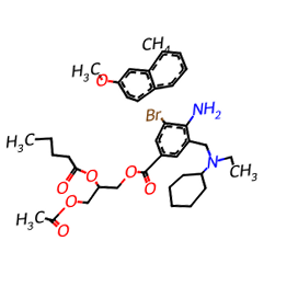 C.CCCCC(=O)OC(COC(C)=O)COC(=O)c1cc(Br)c(N)c(CN(CC)C2CCCCC2)c1.COc1ccc2ccccc2c1